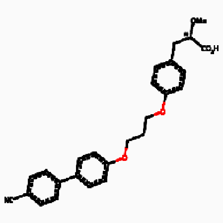 CO[C@@H](Cc1ccc(OCCCOc2ccc(-c3ccc(C#N)cc3)cc2)cc1)C(=O)O